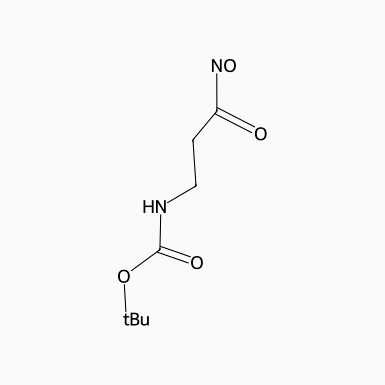 CC(C)(C)OC(=O)NCCC(=O)N=O